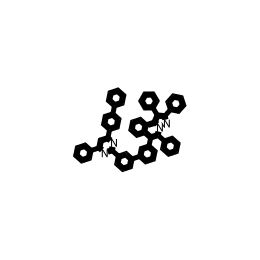 c1ccc(-c2ccc(-c3cc(-c4ccccc4)nc(-c4cccc(-c5cccc(-c6c(-c7ccccc7)n7nc(-c8ccccc8)c(-c8ccccc8)c7c7ccccc67)c5)c4)n3)cc2)cc1